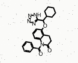 O=C1CCc2c(OC(c3nnn[nH]3)C3CCCCC3)cccc2N1C(=O)c1ccccc1